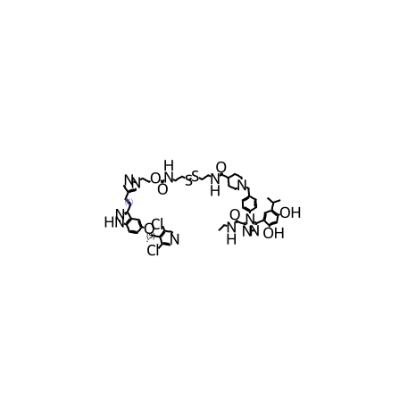 CCNC(=O)c1nnc(-c2cc(C(C)C)c(O)cc2O)n1-c1ccc(CN2CCC(C(=O)NCCSSCCNC(=O)OCCn3cc(/C=C/c4n[nH]c5ccc(O[C@@H](C)c6c(Cl)cncc6Cl)cc45)cn3)CC2)cc1